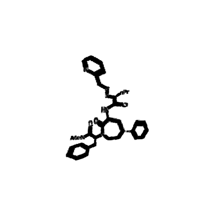 CCC[C@H](SSCc1ccccn1)C(=O)N[C@H]1C[C@H](c2ccccc2)CCN([C@@H](Cc2ccccc2)C(=O)NC)C1=O